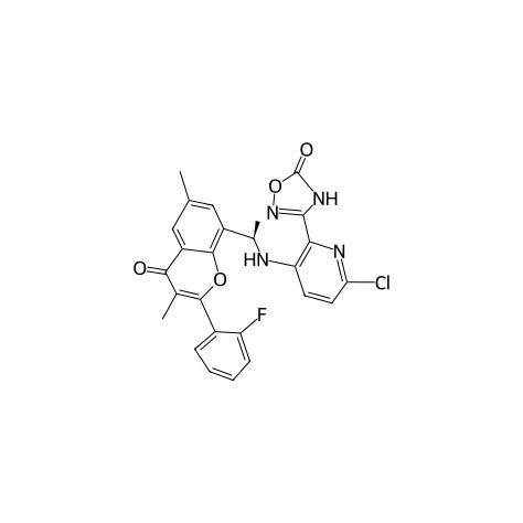 Cc1cc([C@@H](C)Nc2ccc(Cl)nc2-c2noc(=O)[nH]2)c2oc(-c3ccccc3F)c(C)c(=O)c2c1